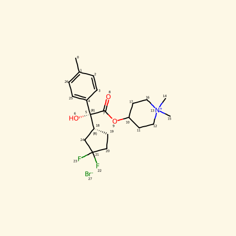 Cc1ccc([C@@](O)(C(=O)OC2CC[N+](C)(C)CC2)[C@@H]2CCC(F)(F)C2)cc1.[Br-]